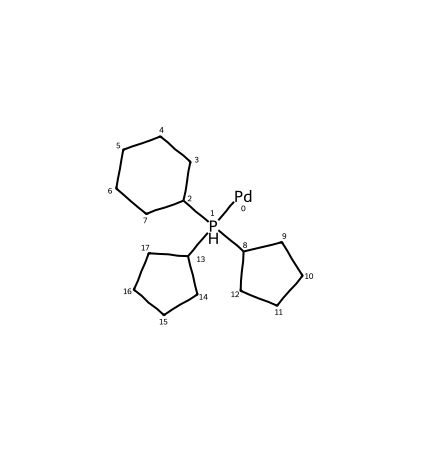 [Pd][PH](C1CCCCC1)(C1CCCC1)C1CCCC1